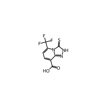 O=C(O)c1ccc(C(F)(F)F)n2c(=S)[nH]nc12